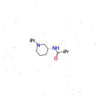 CC(C)C(=O)N[C@@H]1CCCN(C(C)C)C1